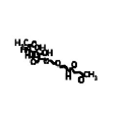 CC(=O)/C=C/C(=O)NCCOCCOC[C@@]12CO[C@@H](O1)[C@@H](NC(C)=O)[C@@H](O)[C@H]2O